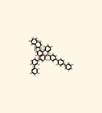 c1ccc(-c2ccc(-c3ccc(N(c4ccc(-c5cccc(-c6ccccc6)c5)cc4)c4ccccc4-c4cccc5oc6c7ccccc7ccc6c45)cc3)cc2)cc1